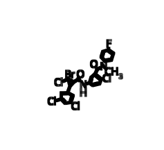 CN(C(=O)c1cc(NC(=O)C2C(c3cc(Cl)cc(Cl)c3)C2(Cl)Br)ccc1Cl)c1ccc(F)cc1